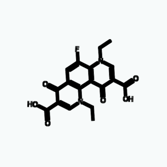 CCn1cc(C(=O)O)c(=O)c2c1c(F)cc1c(=O)c(C(=O)O)cn(CC)c12